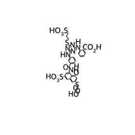 O=C(Nc1cc(S(=O)(=O)O)cc2cc(SOOO)cc(O)c12)c1cccc(Nc2nc(Nc3ccccc3C(=O)O)nc(SCCCS(=O)(=O)O)n2)c1